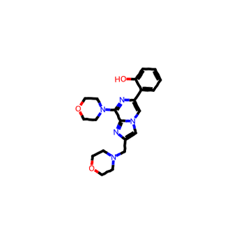 Oc1ccccc1-c1cn2cc(CN3CCOCC3)nc2c(N2CCOCC2)n1